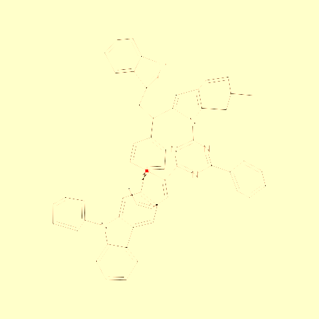 CC1C=Cc2c3c(n(-c4nc(-c5ccccc5)nc(-c5ccccc5)n4)c2C1)C(c1ccc(-c2ccc4c5ccccc5n(-c5ccccc5)c4c2)cc1)Cc1c-3oc2ccccc12